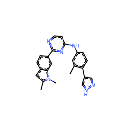 Cc1cc(Nc2ccnc(-c3ccc4cc(C)n(C)c4c3)n2)ccc1-c1cn[nH]c1